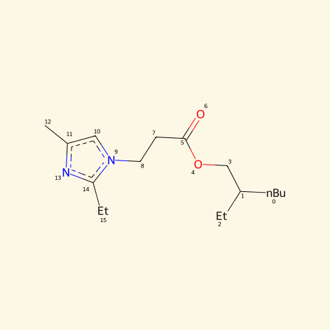 CCCCC(CC)COC(=O)CCn1cc(C)nc1CC